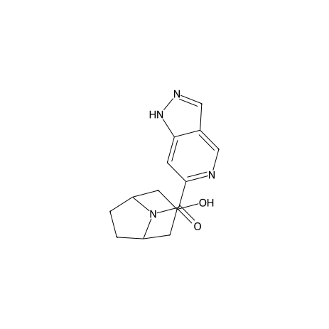 O=C(c1cc2[nH]ncc2cn1)N1C2CCC1CC(O)C2